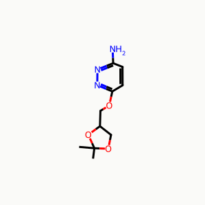 CC1(C)OCC(COc2ccc(N)nn2)O1